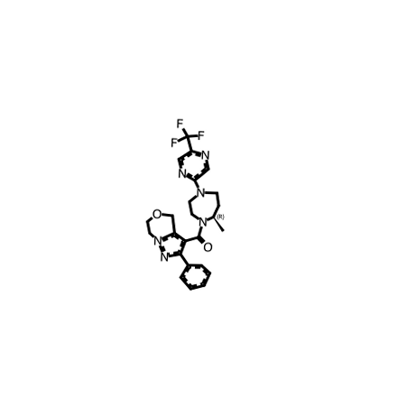 C[C@@H]1CCN(c2cnc(C(F)(F)F)cn2)CCN1C(=O)c1c(-c2ccccc2)nn2c1COCC2